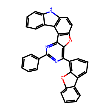 c1ccc(-c2nc(-c3cccc4c3oc3ccccc34)c3oc4ccc5[nH]c6ccccc6c5c4c3n2)cc1